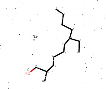 CCCCC(CC)CCCCC(C)CO.[Na]